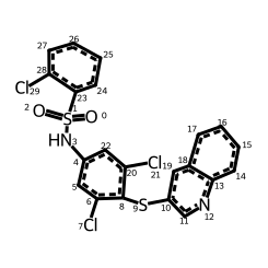 O=S(=O)(Nc1cc(Cl)c(Sc2cnc3ccccc3c2)c(Cl)c1)c1ccccc1Cl